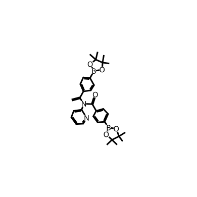 C=C(c1ccc(B2OC(C)(C)C(C)(C)O2)cc1)N(C(=O)c1ccc(B2OC(C)(C)C(C)(C)O2)cc1)c1ccccn1